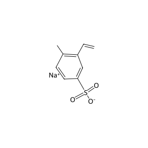 C=Cc1cc(S(=O)(=O)[O-])ccc1C.[Na+]